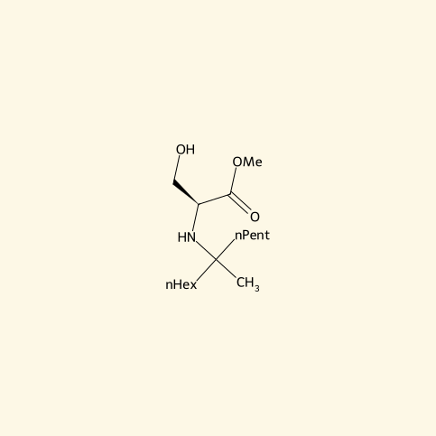 CCCCCCC(C)(CCCCC)N[C@@H](CO)C(=O)OC